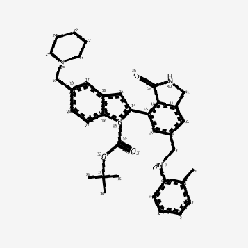 Cc1ccccc1NCc1cc2c(c(-c3cc4cc(CN5CCCCC5)ccc4n3C(=O)OC(C)(C)C)c1)C(=O)NC2